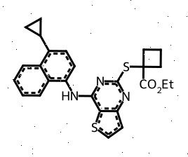 CCOC(=O)C1(Sc2nc(Nc3ccc(C4CC4)c4ccccc34)c3sccc3n2)CCC1